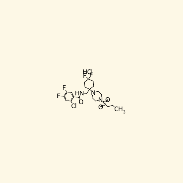 CCCS(=O)(=O)N1CCN(C2(CNC(=O)c3cc(F)c(F)cc3Cl)CCC(F)(F)CC2)CC1.Cl